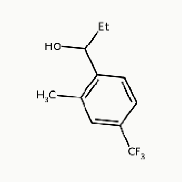 CCC(O)c1ccc(C(F)(F)F)cc1C